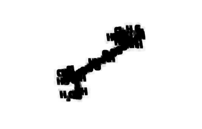 Cc1ccnc(NCCCCC(=O)N[C@@H](COCCOCCOCCOC(=O)NCCCCNC(=O)OCCOCCOCCOC[C@H](NC(=O)CCCCNc2cc(C)ccn2)C(=O)NC(CC(=O)O)c2cc(Cl)cc(Cl)c2)C(=O)NC(CC(=O)O)c2cc(Cl)cc(Cl)c2)c1